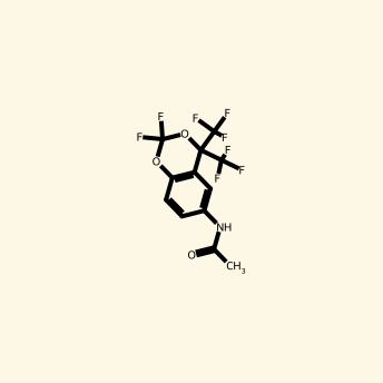 CC(=O)Nc1ccc2c(c1)C(C(F)(F)F)(C(F)(F)F)OC(F)(F)O2